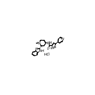 CN1CC[C@@H](NC(=O)c2cc(-c3ccncc3)n[nH]2)C[C@@H]1c1nc2ccccc2[nH]1.Cl